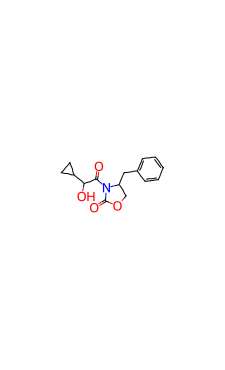 O=C1OCC(Cc2ccccc2)N1C(=O)C(O)C1CC1